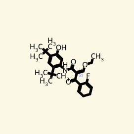 CCO/C=C(\C(=O)Nc1cc(O)c(C(C)(C)C)cc1C(C)(C)C)C(=O)C1=CCCC=C1F